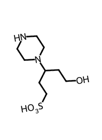 O=S(=O)(O)CCC(CCO)N1CCNCC1